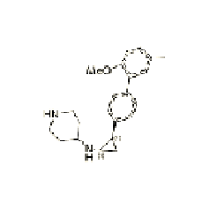 COc1ccc(C)cc1-c1ccc([C@H]2C[C@@H]2NC2CCNCC2)cc1